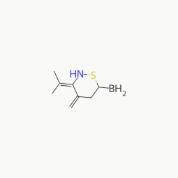 BC1CC(=C)C(=C(C)C)NS1